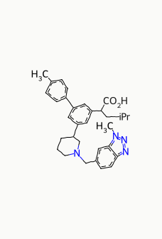 Cc1ccc(-c2cc(C3CCCN(Cc4ccc5nnn(C)c5c4)C3)cc(C(CC(C)C)C(=O)O)c2)cc1